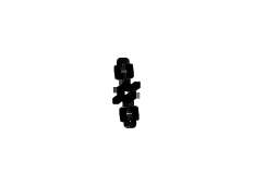 Cc1[c]c(N2CCOCC2)c(C)[c]c1N1CCOCC1